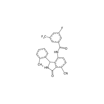 Cc1ccccc1C1NC(=O)c2c(C#N)ccc(NC(=O)c3cc(F)cc(C(F)(F)F)c3)c21